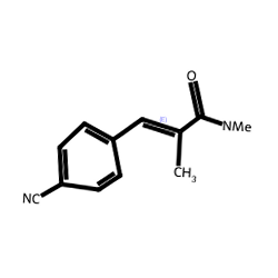 CNC(=O)/C(C)=C/c1ccc(C#N)cc1